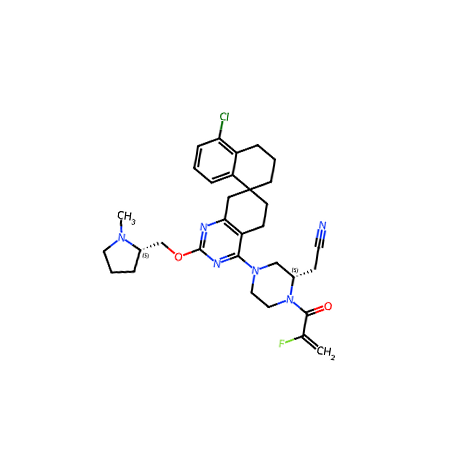 C=C(F)C(=O)N1CCN(c2nc(OC[C@@H]3CCCN3C)nc3c2CCC2(CCCc4c(Cl)cccc42)C3)C[C@@H]1CC#N